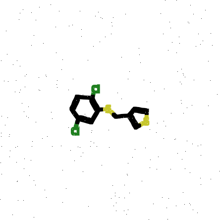 Clc1ccc(Cl)c(SCc2ccsc2)c1